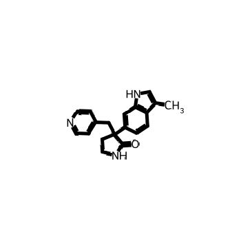 Cc1c[nH]c2cc(C3(Cc4ccncc4)CCNC3=O)ccc12